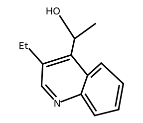 CCc1cnc2ccccc2c1C(C)O